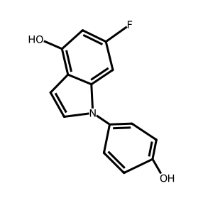 Oc1ccc(-n2ccc3c(O)cc(F)cc32)cc1